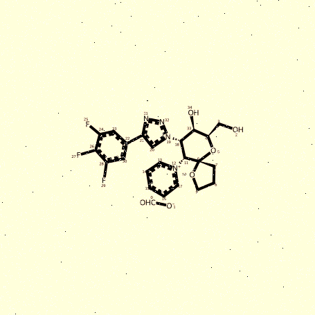 O=C[O-].OC[C@H]1O[C@@]2(CCCO2)[C@H]([n+]2ccccc2)[C@H](n2cc(-c3cc(F)c(F)c(F)c3)nn2)[C@H]1O